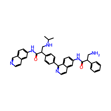 CC(C)NCC(C(=O)Nc1ccc2cnccc2c1)c1ccc(-c2nccc3cc(NC(=O)C(CN)c4ccccc4)ccc23)cc1